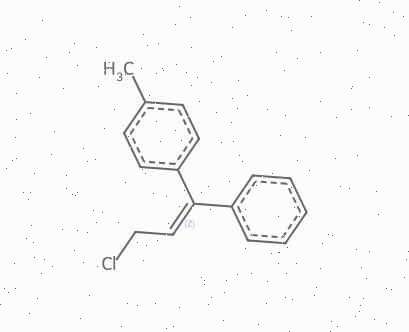 Cc1ccc(/C(=C\CCl)c2ccccc2)cc1